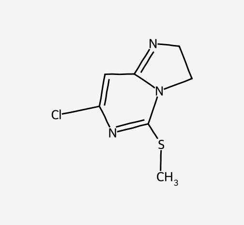 CSC1=NC(Cl)=CC2=NCCN21